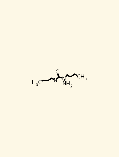 CCCC[N]C(=O)N(N)CCCC